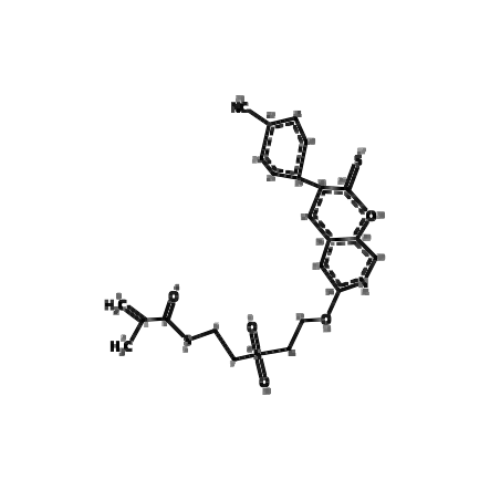 C=C(C)C(=O)SCCS(=O)(=O)CCOc1cc2cc(-c3ccc(C#N)cc3)c(=S)oc2cn1